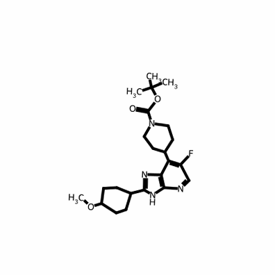 COC1CCC(c2nc3c(C4CCN(C(=O)OC(C)(C)C)CC4)c(F)cnc3[nH]2)CC1